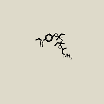 CCNc1ccc(OC(C)(CC)SC(C)(CC)OC(C)CN)cc1